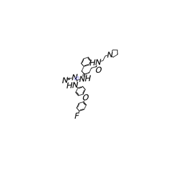 N#C/N=C(\Nc1ccc(Oc2ccc(F)cc2)cc1)N[C@H](CCC(=O)NCCN1CCCC1)Cc1ccccc1